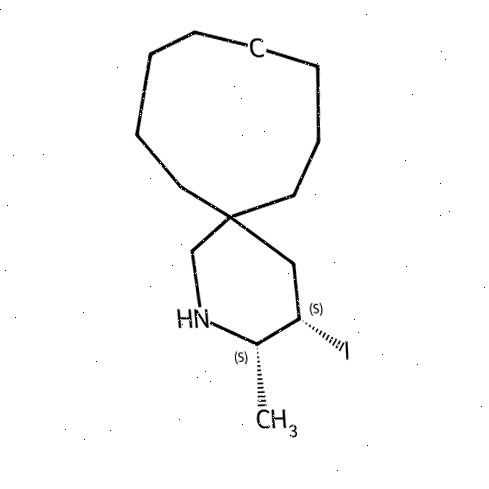 C[C@@H]1NCC2(CCCCCCCC2)C[C@@H]1I